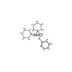 c1ccc(COC2(NC3CCCCC3)CCCCC2)cc1